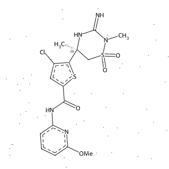 COc1cccc(NC(=O)c2cc(Cl)c([C@]3(C)CS(=O)(=O)N(C)C(=N)N3)s2)n1